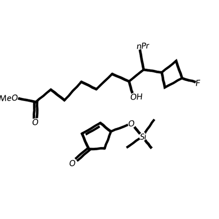 CCCC(C(O)CCCCCC(=O)OC)C1CC(F)C1.C[Si](C)(C)OC1C=CC(=O)C1